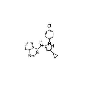 Clc1ccc(-n2nc(C3CC3)cc2Nc2ncnc3ccccc23)cc1